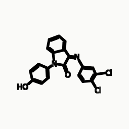 O=C1C(=Nc2ccc(Cl)c(Cl)c2)c2ccccc2N1c1ccc(O)cc1